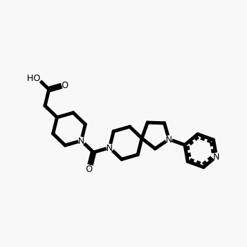 O=C(O)CC1CCN(C(=O)N2CCC3(CC2)CCN(c2ccncc2)C3)CC1